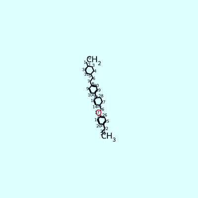 C=CC1CCC(CCc2ccc(C3C=CC(COc4ccc(CCC)cc4)CC3)cc2)CC1